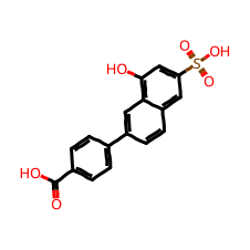 O=C(O)c1ccc(-c2ccc3cc(S(=O)(=O)O)cc(O)c3c2)cc1